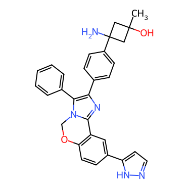 CC1(O)CC(N)(c2ccc(-c3nc4n(c3-c3ccccc3)COc3ccc(-c5ccn[nH]5)cc3-4)cc2)C1